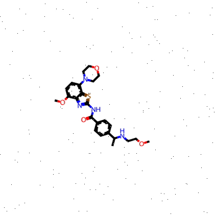 COCCNC(C)c1ccc(C(=O)Nc2nc3c(OC)ccc(N4CCOCC4)c3s2)cc1